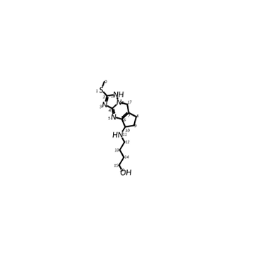 CSC1=NC2=NC3=C(CCC3NCCCCO)CN2N1